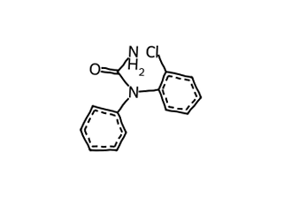 NC(=O)N(c1ccccc1)c1ccccc1Cl